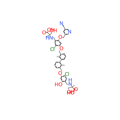 Cc1c(COc2cc(O)c(CNC(C)(CO)C(=O)O)cc2Cl)cccc1-c1cccc(COc2cc(OCc3cncc(C#N)c3)c(CN[C@@](C)(CO)C(=O)O)cc2Cl)c1C